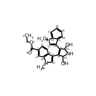 CCOC(=O)c1ccc2c(C3=C(c4cn(C)c5ccccc45)C(O)NC3O)cn(C)c2c1